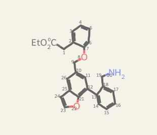 CCOC(=O)Cc1ccccc1OCc1cc(-c2ccccc2CN)c2occc2c1